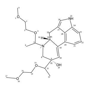 COCCOC(C)N1C[C@](O)(C(C)OCCOC)C=C2c3cccc4[nH]cc(c34)C[C@H]21